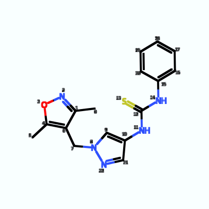 Cc1noc(C)c1Cn1cc(NC(=S)Nc2ccccc2)cn1